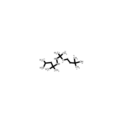 CC(N)CC(C)(C)BBC(C)(C)OCCC(C)(C)O